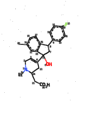 CCN1CC=C(C2(O)CC(c3ccc(F)cc3)c3ccc(C)cc32)CC1CC(=O)O